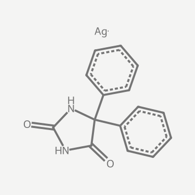 O=C1NC(=O)C(c2ccccc2)(c2ccccc2)N1.[Ag]